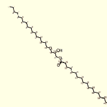 CCCCCCCCCCCCCCCCCOCC(O)COC(=O)CCCCCCCCCCCCCCCCC